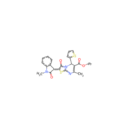 CC1=C(C(=O)OC(C)C)C(c2cccs2)n2c(s/c(=C3\C(=O)N(C)c4ccccc43)c2=O)=N1